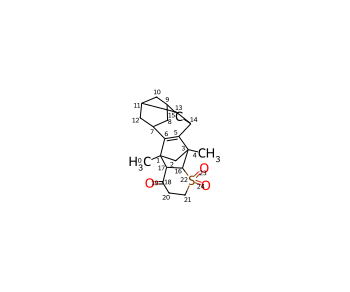 CC12CC(C)(C3=C1C1CC4CC(C1)CC3C4)C1C2C(=O)CCS1(=O)=O